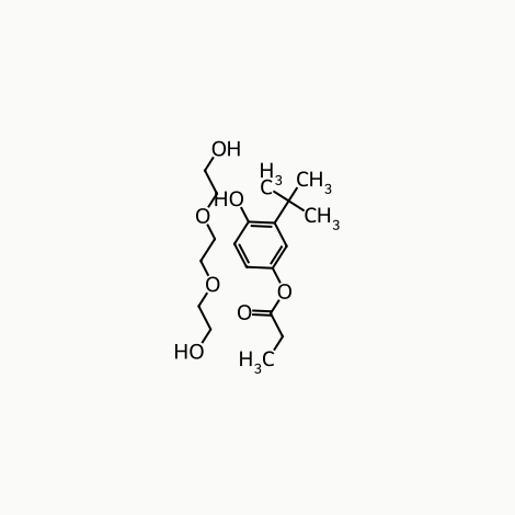 CCC(=O)Oc1ccc(O)c(C(C)(C)C)c1.OCCOCCOCCO